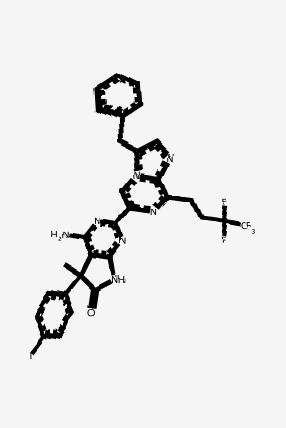 CC1(c2ccc(I)cc2)C(=O)Nc2nc(-c3cn4c(Cc5ccccc5)cnc4c(CCC(F)(F)C(F)(F)F)n3)nc(N)c21